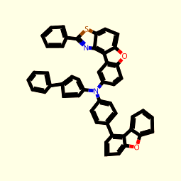 c1ccc(-c2ccc(N(c3ccc(-c4cccc5oc6ccccc6c45)cc3)c3ccc4oc5ccc6sc(-c7ccccc7)nc6c5c4c3)cc2)cc1